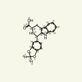 [2H]C1([2H])Oc2ccc(C3N[C@@H](C(=O)O)Cc4c3[nH]c3ccccc43)cc2O1